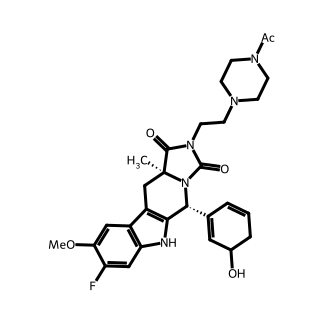 COc1cc2c3c([nH]c2cc1F)[C@@H](C1=CC(O)CC=C1)N1C(=O)N(CCN2CCN(C(C)=O)CC2)C(=O)[C@]1(C)C3